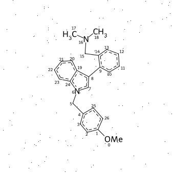 COc1ccc(Cn2cc(-c3ccccc3CN(C)C)c3ccccc32)cc1